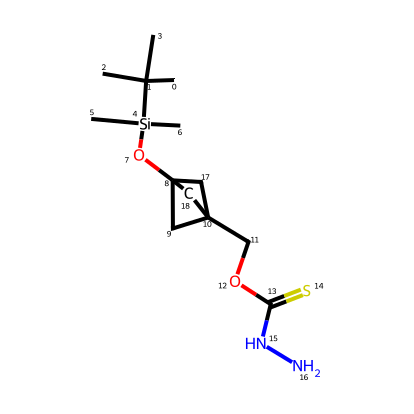 CC(C)(C)[Si](C)(C)OC12CC(COC(=S)NN)(C1)C2